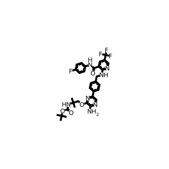 CC(C)(COc1nc(-c2ccc(CNc3ncc(C(F)(F)F)cc3C(=O)Nc3ccc(F)cc3)cc2)cnc1N)NC(=O)OC(C)(C)C